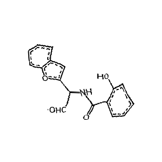 O=[C]C(NC(=O)c1ccccc1O)c1cc2ccccc2o1